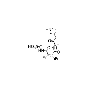 CCC[C@@H](C(=O)NNC(=O)CC1CCNC1)N(CC)C(=O)NOS(=O)(=O)O